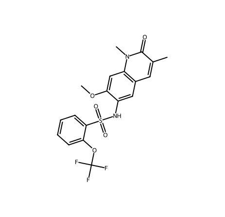 COc1cc2c(cc1NS(=O)(=O)c1ccccc1OC(F)(F)F)cc(C)c(=O)n2C